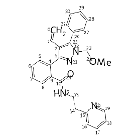 C=Cc1c(-c2ccccc2C(=O)NCCc2ccccn2)nn(COC)c1-c1ccccc1